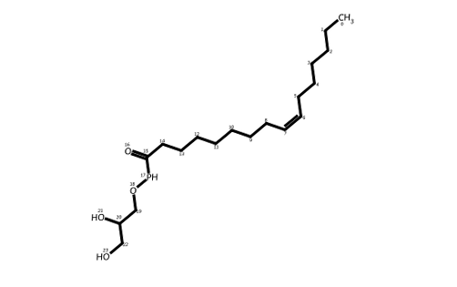 CCCCCC/C=C\CCCCCCCC(=O)POCC(O)CO